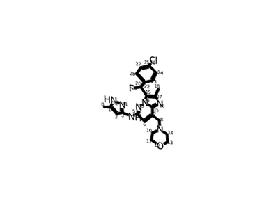 Cc1cc(Nc2cc(CN3CCOCC3)c3nc(C)c(C(F)c4ccc(Cl)cc4)n3n2)n[nH]1